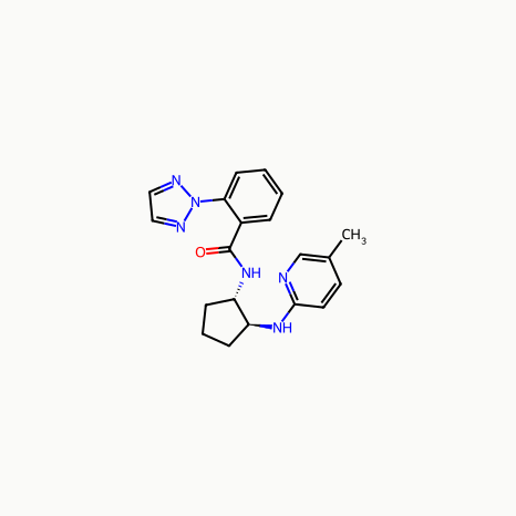 Cc1ccc(N[C@H]2CCC[C@@H]2NC(=O)c2ccccc2-n2nccn2)nc1